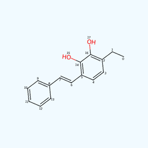 CCc1ccc(C=Cc2ccccc2)c(O)c1O